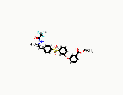 CCOC(=O)c1cccc(Oc2cccc(S(=O)(=O)c3ccc(C[C@@H](C)NC(=O)C(F)(F)F)cc3)c2)c1